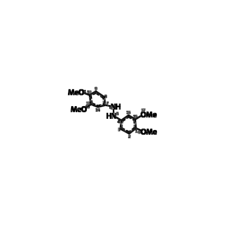 COc1ccc(NNc2ccc(OC)c(OC)c2)cc1OC